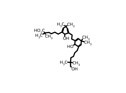 CC1(C)C=C(CCCCC(C)(C)CO)C(O)C(CCC2=CC(C)(C)C=C(CCCCC(C)(C)C(=O)O)C2O)=C1